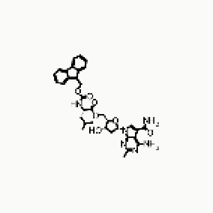 Cc1nc(N)c2c(C(N)=O)cn([C@H]3C[C@H](O)[C@@H](COC(=O)[C@H](CC(C)C)NC(=O)OCC4c5ccccc5-c5ccccc54)O3)c2n1